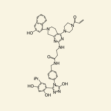 C=CC(=O)N1CCN(c2nc(NCCC(=O)NCc3ccc(-n4c(O)nnc4-c4cc(C(C)C)c(O)cc4O)cc3)nc3c2CCN(c2cc(O)cc4ccccc24)C3)CC1